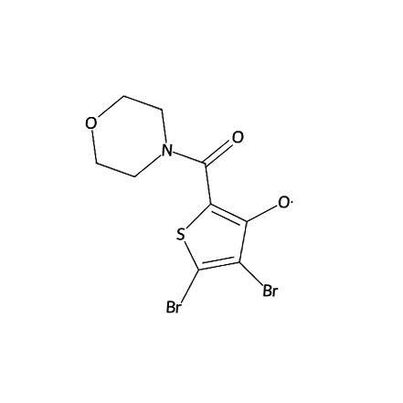 [O]c1c(C(=O)N2CCOCC2)sc(Br)c1Br